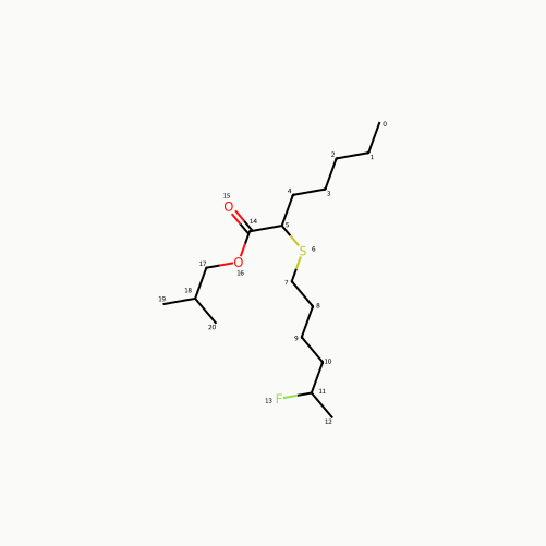 CCCCCC(SCCCCC(C)F)C(=O)OCC(C)C